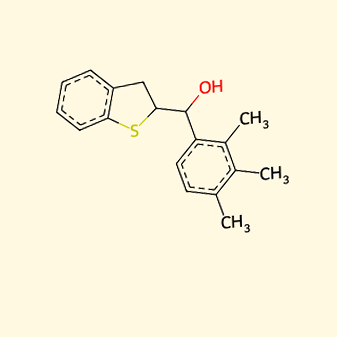 Cc1ccc(C(O)C2Cc3ccccc3S2)c(C)c1C